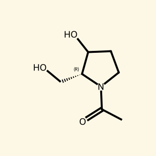 CC(=O)N1CCC(O)[C@H]1CO